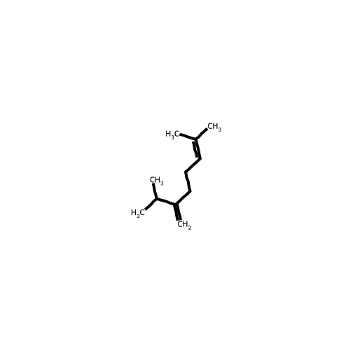 C=C(CCC=C(C)C)C(C)C